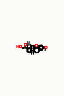 C[C@]12C=CC(=O)C=C1CC[C@H]1[C@@H]3CC=C(C(=O)CO)[C@@]3(C)CC3O[C@]312